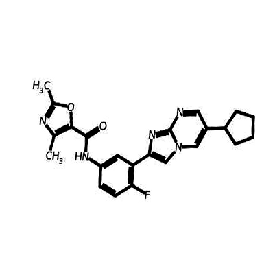 Cc1nc(C)c(C(=O)Nc2ccc(F)c(-c3cn4cc(C5CCCC5)cnc4n3)c2)o1